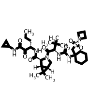 CCC[C@H](NC(=O)[C@@H]1[C@@H]2[C@H](CN1C(=O)[C@@H](NC(=O)NC1(CS(=O)(=O)N3CCC3)CCCCC1)C(C)(C)C)C2(C)C)C(=O)C(=O)NC1CC1